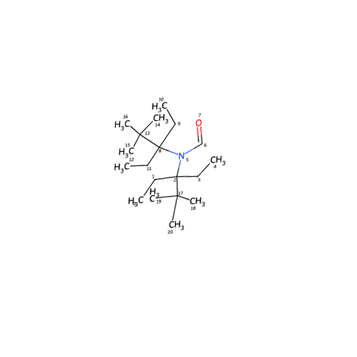 CCC(CC)(N(C=O)C(CC)(CC)C(C)(C)C)C(C)(C)C